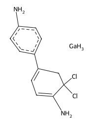 NC1=CC=C(c2ccc(N)cc2)CC1(Cl)Cl.[GaH3]